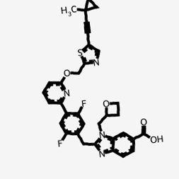 CC1(C#Cc2cnc(COc3cccc(-c4cc(F)c(Cc5nc6ccc(C(=O)O)cc6n5CC5CCO5)cc4F)n3)s2)CC1